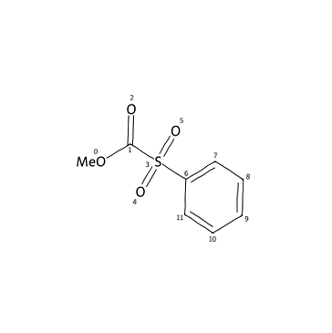 COC(=O)S(=O)(=O)c1ccccc1